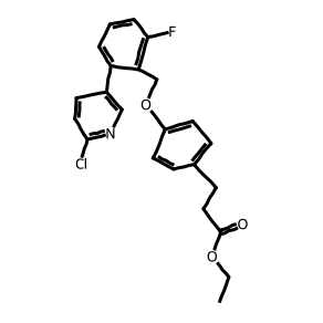 CCOC(=O)CCc1ccc(OCc2c(F)cccc2-c2ccc(Cl)nc2)cc1